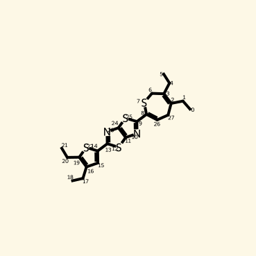 CCC1=C(CC)CSC(c2nc3sc(-c4cc(CC)c(CC)s4)nc3s2)=CC1